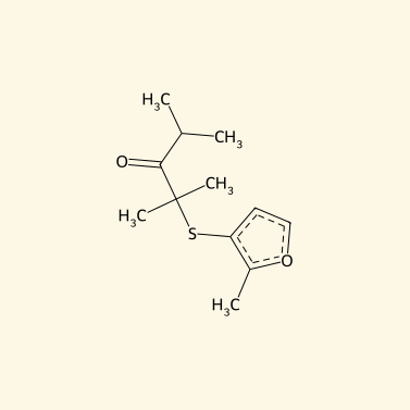 Cc1occc1SC(C)(C)C(=O)C(C)C